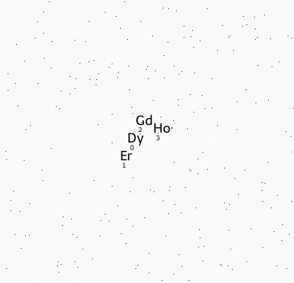 [Dy].[Er].[Gd].[Ho]